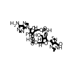 Cc1nc2c([C@@H]3O[C@@H]4CO[P@@](=O)(S)O[C@H]5[C@@H](F)[C@H](n6cnc7c(N)ncnc76)O[C@@H]5CO[P@@](=O)(S)O[C@@H]3[C@@H]4CO)snc2c(=O)[nH]1